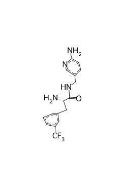 Nc1ccc(CNC(=O)[C@@H](N)Cc2cccc(C(F)(F)F)c2)cn1